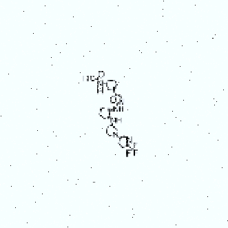 O=C(O)Nc1cccc(-c2cnc(N[C@@H]3CCCC[C@H]3NC3CCCN(c4ccc(C(F)(F)F)nc4)C3)o2)c1